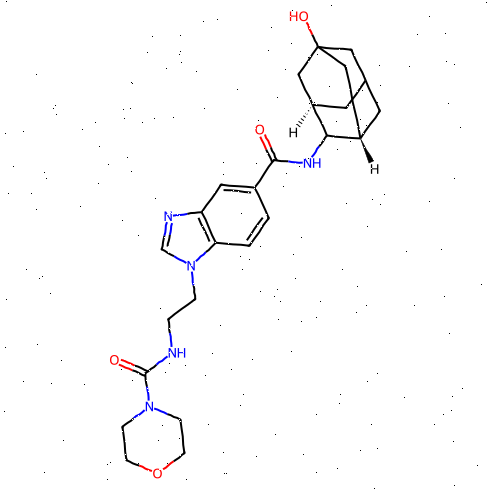 O=C(NC1[C@@H]2CC3C[C@H]1CC(O)(C3)C2)c1ccc2c(c1)ncn2CCNC(=O)N1CCOCC1